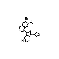 FC(F)c1cc2c(cc1Br)CCCN2c1nc(C2COC2)n2c1CNCC2